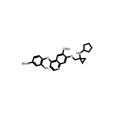 CNc1ccc(Oc2ccnc3cc(OCC4(NC5CCCC5)CC4)c(OC)cc23)c(N)c1